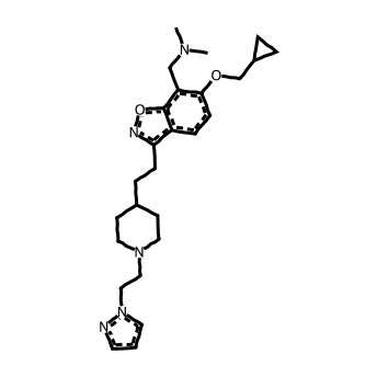 CN(C)Cc1c(OCC2CC2)ccc2c(CCC3CCN(CCn4cccn4)CC3)noc12